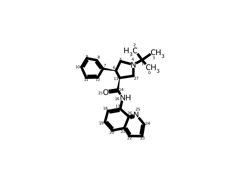 CC(C)(C)N1C[C@H](c2ccccc2)[C@H](C(=O)Nc2cccc3cccnc23)C1